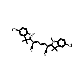 CN1\C(=C(C#N)/C=C/C=C(\C#N)C2=[N+](C)c3ccc(Cl)cc3C2(C)C)C(C)(C)c2cc(Cl)ccc21